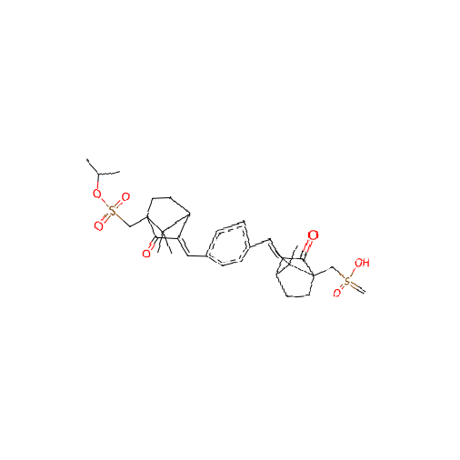 C=S(=O)(O)CC12CCC(/C(=C\c3ccc(/C=C4/C(=O)C5(CS(=O)(=O)OC(C)C)CCC4C5(C)C)cc3)C1=O)C2(C)C